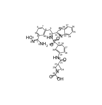 N/C(=N/O)c1cccc(CC(NS(=O)(=O)c2cccc(NC(=O)C3CN(C(=O)O)C3)c2)c2nc3ccccc3s2)c1